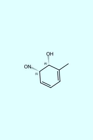 CC1=CC=C[C@H](N=O)[C@@H]1O